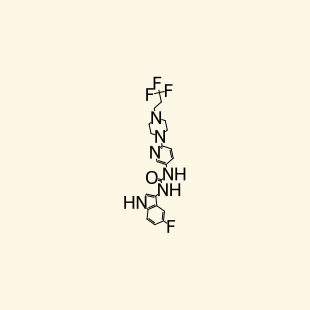 O=C(Nc1ccc(N2CCN(CCC(F)(F)F)CC2)nc1)Nc1c[nH]c2ccc(F)cc12